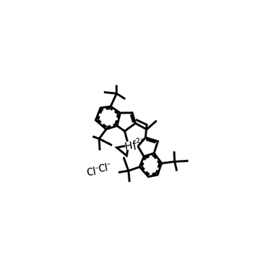 CCC1=Cc2c(C(C)(C)C)ccc(C(C)(C)C)c2[CH]1[Hf+2]1([CH]2C(CC)=Cc3c(C(C)(C)C)ccc(C(C)(C)C)c32)[CH2][CH2]1.[Cl-].[Cl-]